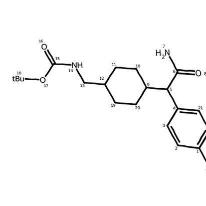 Cc1ccc(C(C(N)=O)C2CCC(CNC(=O)OC(C)(C)C)CC2)cc1